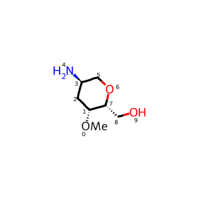 CO[C@@H]1C[C@@H](N)CO[C@@H]1CO